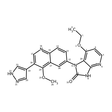 CCOc1ccnc2[nH]c(=O)n(-c3ccc4ncc(-c5cn[nH]c5)c(OC)c4c3)c12